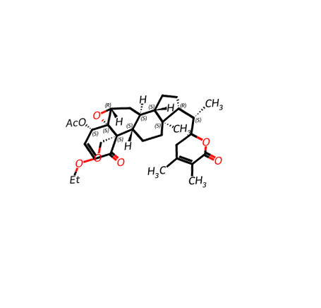 CCOOC[C@]12C(=O)C=C[C@H](OC(C)=O)[C@]13O[C@@H]3C[C@H]1[C@@H]3CC[C@H]([C@H](C)C4CC(C)=C(C)C(=O)O4)[C@@]3(C)CC[C@@H]12